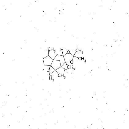 C[C@@H]1CC[C@H]2C(C)(C)[C@H]3CC12C[C@@H]1OC(C)(C)O[C@@]13C